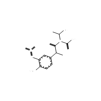 CCCCC(C)N(C(=O)C(C)c1ccc(OC)c(N=S(=O)=O)c1)C(=S)NC